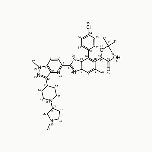 Cc1cc2nc(-c3ccc4c(n3)c(C3CCN([C@H]5CCN(C)C5)CC3)nn4C)sc2c(-c2ccc(Cl)cc2)c1[C@H](OC(C)(C)C)C(=O)O